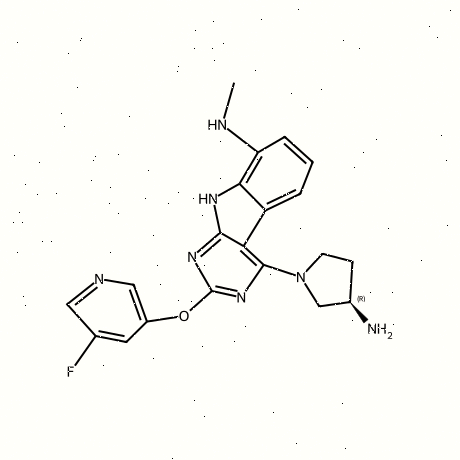 CNc1cccc2c1[nH]c1nc(Oc3cncc(F)c3)nc(N3CC[C@@H](N)C3)c12